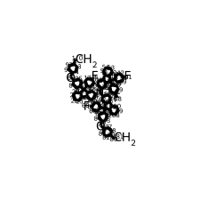 C=Cc1ccc(Oc2ccc(C3(c4ccc(F)cc4)c4ccccc4-c4ccc(N(c5ccc6c(c5)C(c5ccc(F)cc5)(c5ccc(F)cc5)c5ccccc5-6)c5ccc6c(c5)C(c5ccc(F)cc5)(c5ccc(Oc7ccc(C=C)cc7)cc5)c5ccccc5-6)cc43)cc2)cc1